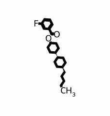 CCCCC[C@H]1CC[C@H](C2CCC(OC(=O)c3cccc(F)c3)CC2)CC1